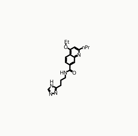 CCCc1cc(OCC)c2ccc(C(=O)NCCCc3nnc[nH]3)cc2n1